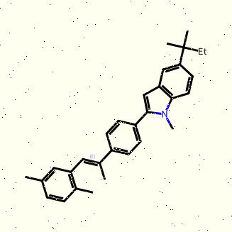 CCC(C)(C)c1ccc2c(c1)cc(-c1ccc(/C(C)=C/c3cc(C)ccc3C)cc1)n2C